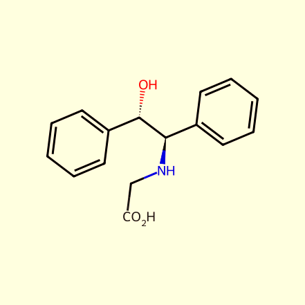 O=C(O)CN[C@H](c1ccccc1)[C@@H](O)c1ccccc1